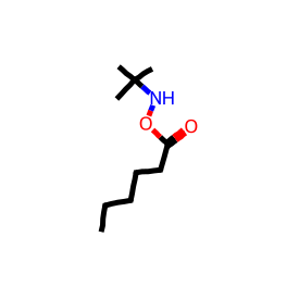 CCCCCC(=O)ONC(C)(C)C